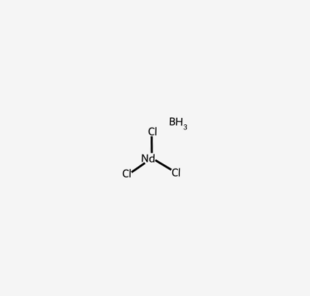 B.[Cl][Nd]([Cl])[Cl]